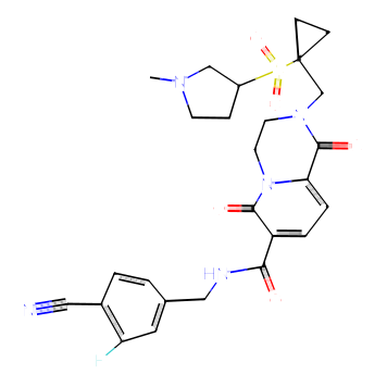 CN1CCC(S(=O)(=O)C2(CN3CCn4c(ccc(C(=O)NCc5ccc(C#N)c(F)c5)c4=O)C3=O)CC2)C1